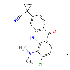 CN(C)c1c(Cl)ccc2c(=O)c3ccc(C4(C#N)CC4)cc3[nH]c12